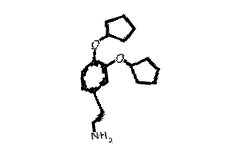 NCCc1ccc(OC2CCCC2)c(OC2CCCC2)c1